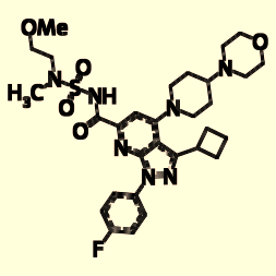 COCCN(C)S(=O)(=O)NC(=O)c1cc(N2CCC(N3CCOCC3)CC2)c2c(C3CCC3)nn(-c3ccc(F)cc3)c2n1